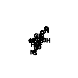 CN(C(=O)O)[C@@H](Cc1ccc(-c2ccccn2)cc1)C[C@H](O)[C@H](Cc1ccccc1)NC(=O)[C@@H](NC(=O)OCc1cncs1)C(C)(C)C